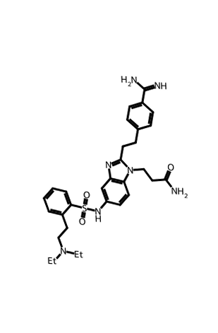 CCN(CC)CCc1ccccc1S(=O)(=O)Nc1ccc2c(c1)nc(CCc1ccc(C(=N)N)cc1)n2CCC(N)=O